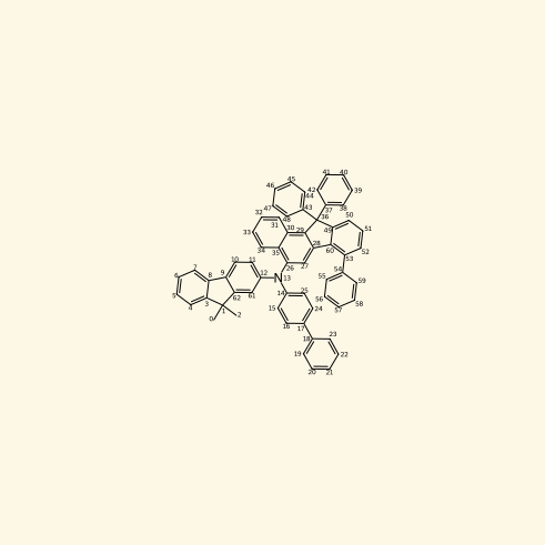 CC1(C)c2ccccc2-c2ccc(N(c3ccc(-c4ccccc4)cc3)c3cc4c(c5ccccc35)C(c3ccccc3)(c3ccccc3)c3cccc(-c5ccccc5)c3-4)cc21